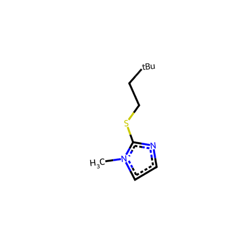 Cn1ccnc1SCCC(C)(C)C